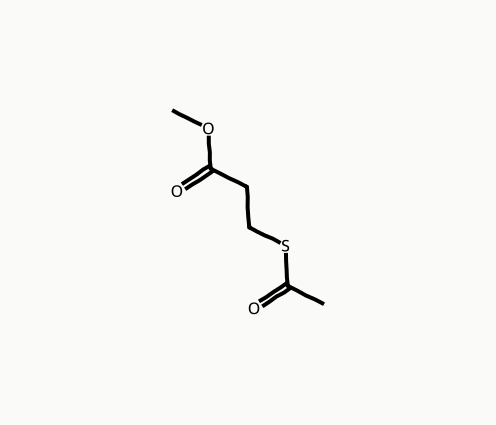 COC(=O)CCSC(C)=O